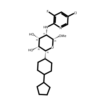 CO[C@@H]1O[C@H](C2CCC(C3CCCC3)CC2)[C@H](O)[C@H](O)[C@@H]1Nc1ncc(Cl)cc1F